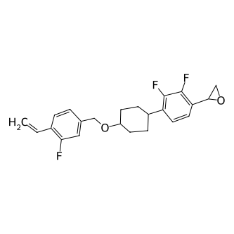 C=Cc1ccc(COC2CCC(c3ccc(C4CO4)c(F)c3F)CC2)cc1F